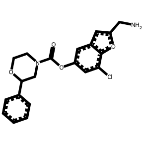 NCc1cc2cc(OC(=O)N3CCOC(c4ccccc4)C3)cc(Cl)c2o1